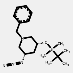 CC(C)(C)[Si](C)(C)O[C@@H]1C[C@H](N=[N+]=[N-])CN(Cc2ccccc2)C1